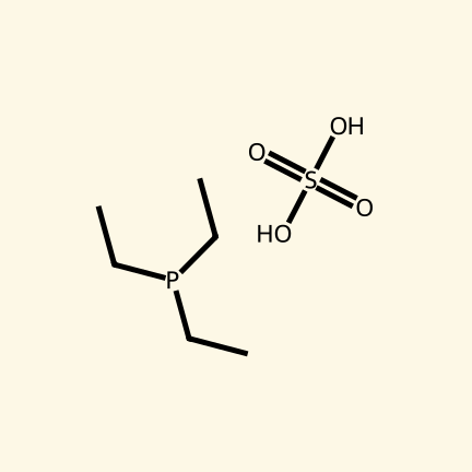 CCP(CC)CC.O=S(=O)(O)O